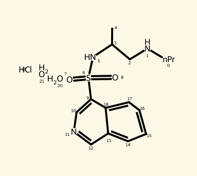 CCCNCC(C)NS(=O)(=O)c1cncc2ccccc12.Cl.O.O